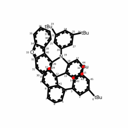 CC(C)(C)c1cc(-c2cccc3cccc(-c4ccccc4N(c4cc(C(C)(C)C)cc(C(C)(C)C)c4)c4cccc5oc6ccccc6c45)c23)cc(C(C)(C)C)c1